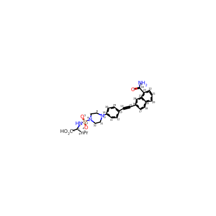 CCC[C@H](NS(=O)(=O)N1CCN(c2ccc(C#Cc3ccc4cccc(C(N)=O)c4c3)cc2)CC1)C(=O)O